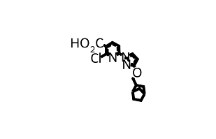 O=C(O)c1ccc(-n2ccc(OCC3CC4CCC3C4)n2)nc1Cl